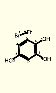 CCBr.Oc1ccc(O)c(O)c1